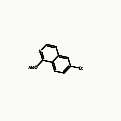 CCc1ccc2c(OC)nccc2c1